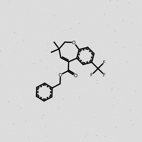 CC1(C)C=C(C(=O)OCc2ccccc2)c2cc(C(F)(F)F)ccc2OC1